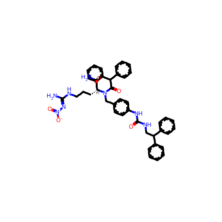 NC(=O)[C@@H](CCCNC(N)=N[N+](=O)[O-])N(Cc1ccc(NC(=O)NCC(c2ccccc2)c2ccccc2)cc1)C(=O)C(c1ccccc1)c1ccccc1